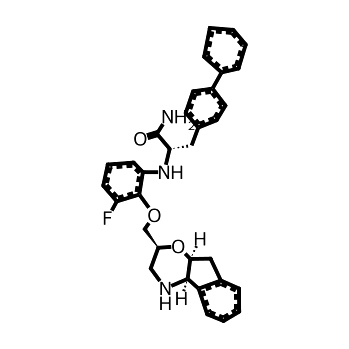 NC(=O)[C@H](Cc1ccc(-c2ccccc2)cc1)Nc1cccc(F)c1OC[C@@H]1CN[C@@H]2c3ccccc3C[C@@H]2O1